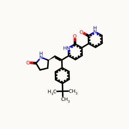 CC(C)(C)c1ccc(/C(=C\[C@H]2CCC(=O)N2)c2ccc(-c3ccc[nH]c3=O)c(=O)[nH]2)cc1